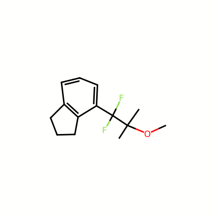 COC(C)(C)C(F)(F)c1cccc2c1CCC2